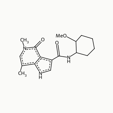 COC1CCCCC1NC(=O)c1c[nH]c2c(C)cn(C)c(=O)c12